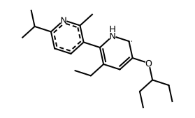 CCC1=C(c2ccc(C(C)C)nc2C)N[CH]C(OC(CC)CC)=C1